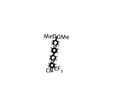 COC(OC)C1CCN(c2ccc(C3CCN(c4ccc(C#N)c(C(F)(F)F)c4)CC3)cc2)CC1